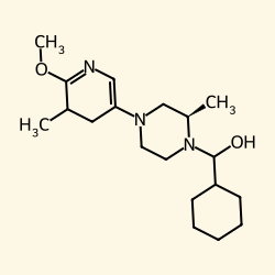 COC1=NC=C(N2CCN(C(O)C3CCCCC3)[C@H](C)C2)CC1C